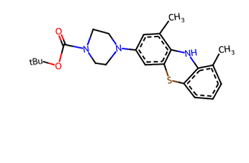 Cc1cccc2c1Nc1c(C)cc(N3CCN(C(=O)OC(C)(C)C)CC3)cc1S2